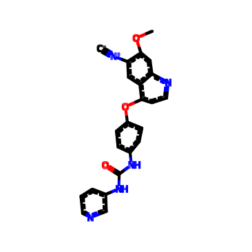 [C-]#[N+]c1cc2c(Oc3ccc(NC(=O)Nc4cccnc4)cc3)ccnc2cc1OC